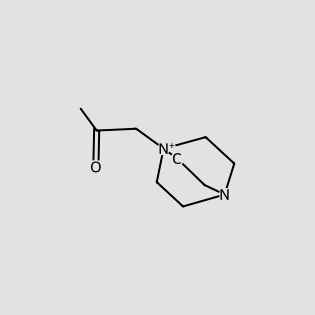 CC(=O)C[N+]12CCN(CC1)CC2